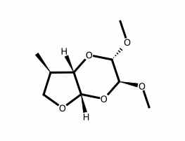 CO[C@H]1O[C@@H]2OC[C@@H](C)[C@@H]2O[C@@H]1OC